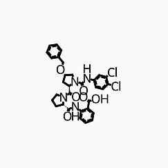 O=C(O)c1ccccc1NC(=O)[C@@H]1CCCN1C(=O)[C@H]1C[C@@H](OCc2ccccc2)CN1C(=O)Nc1ccc(Cl)c(Cl)c1